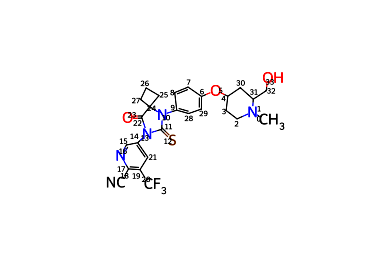 CN1CCC(Oc2ccc(N3C(=S)N(c4cnc(C#N)c(C(F)(F)F)c4)C(=O)C34CCC4)cc2)CC1CO